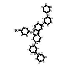 N#Cc1ccc(-n2c3c(c4cc(-c5cccc(-c6ccccc6)c5)ccc42)C=CC(c2cccc(-c4ccccc4)c2)C3)cc1